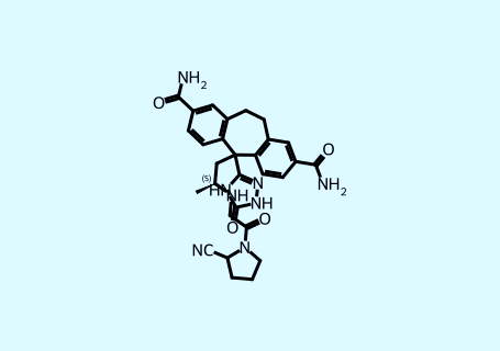 C[C@@H](CC1(c2n[nH]c(=O)[nH]2)c2ccc(C(N)=O)cc2CCc2cc(C(N)=O)ccc21)NCC(=O)N1CCCC1C#N